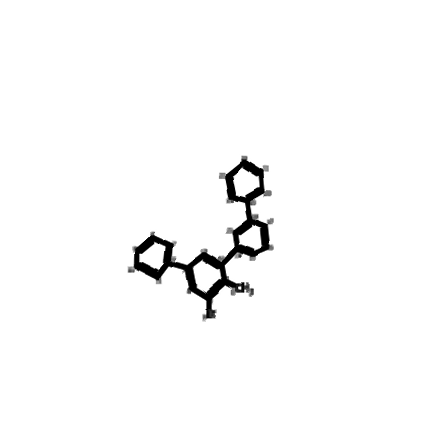 Cc1c(Br)cc(-c2ccccc2)cc1-c1cccc(-c2ccccc2)c1